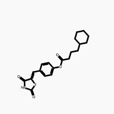 O=C(CCCC1CCCCC1)Oc1ccc(/C=C2\SC(=O)NC2=O)cc1